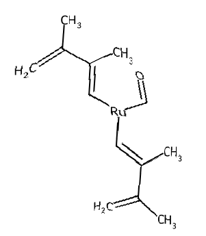 C=C(C)C(C)=[CH][Ru]([CH]=O)[CH]=C(C)C(=C)C